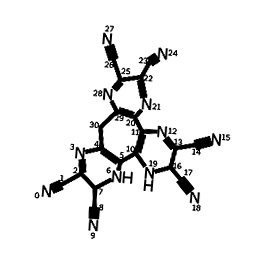 N#CC1=NC2=C(NC1C#N)C1=C(N=C(C#N)C(C#N)N1)c1nc(C#N)c(C#N)nc1C2